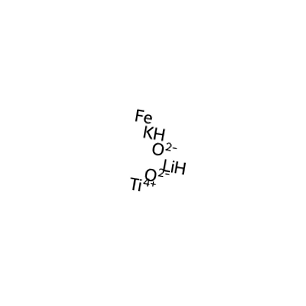 [Fe].[KH].[LiH].[O-2].[O-2].[Ti+4]